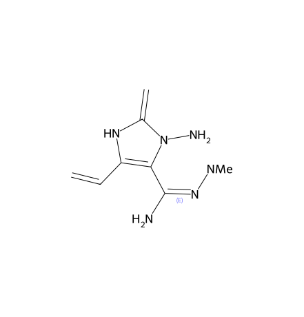 C=CC1=C(/C(N)=N\NC)N(N)C(=C)N1